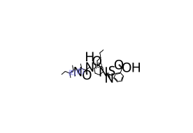 CCCO[C@H]1CN(c2nc3cccc(C(=O)O)c3s2)CCC1NC(=O)/C(C)=N/C(C)=C(\C)CC